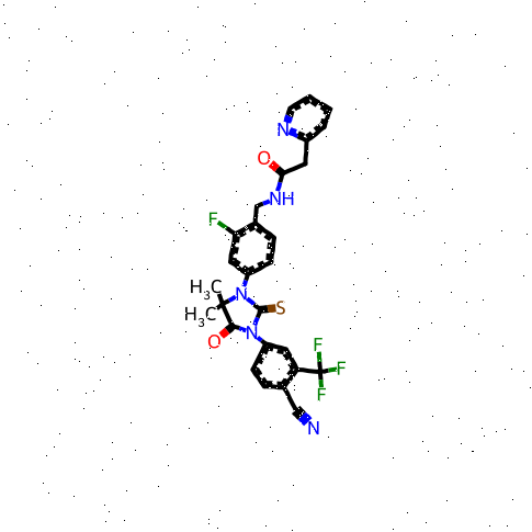 CC1(C)C(=O)N(c2ccc(C#N)c(C(F)(F)F)c2)C(=S)N1c1ccc(CNC(=O)Cc2ccccn2)c(F)c1